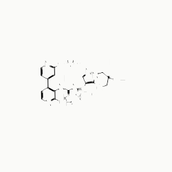 COc1cc(-c2ccnc(C)c2NC(=O)N=[S@@](N)(=O)c2cnn3c2OCC(C)(C)C3)ccn1